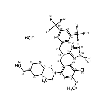 CCc1cc(N(CC)C[C@H]2CC[C@H](CO)CC2)c(CN(Cc2cc(C(F)(F)F)cc(C(F)(F)F)c2)c2nnn(C)n2)cc1Cl.Cl